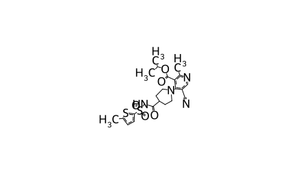 Cc1ccc(S(=O)(=O)NC(=O)C2CCN(c3c(C#N)cnc(C)c3C(=O)OC(C)C)CC2)s1